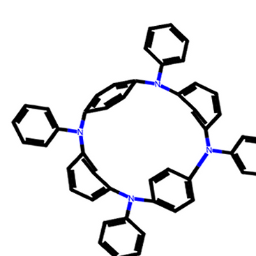 c1ccc(-n2c3ccc(cc3)n(-c3ccccc3)c3cccc(c3)n(-c3ccccc3)c3ccc(cc3)n(-c3ccccc3)c3cccc2c3)cc1